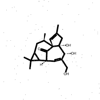 CC1=C[C@]23C(=O)[C@@H](C=C(CO)[C@@H](O)[C@]2(O)C1)C1C(C[C@H]3C)C1(C)C